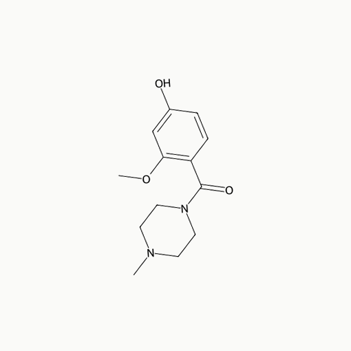 COc1cc(O)ccc1C(=O)N1CCN(C)CC1